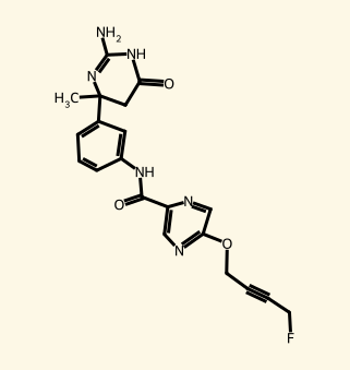 CC1(c2cccc(NC(=O)c3cnc(OCC#CCF)cn3)c2)CC(=O)NC(N)=N1